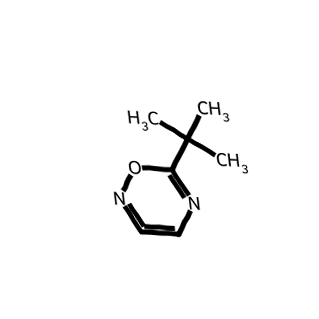 CC(C)(C)C1=NC=C=NO1